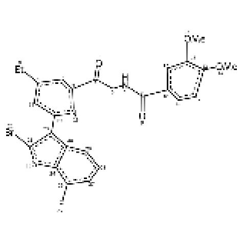 CCc1cc(C(=O)CNC(=O)c2ccc(OC)c(OC)c2)nc(-c2c(Br)sc3c(F)cccc23)c1